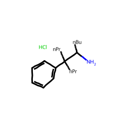 CCCCC(N)C(CCC)(CCC)c1ccccc1.Cl